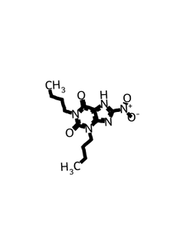 CCCCn1c(=O)c2[nH]c([N+](=O)[O-])nc2n(CCCC)c1=O